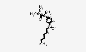 CCCCCC[S+]([O-])c1nnc(N(C)C(=O)N(C)C)s1